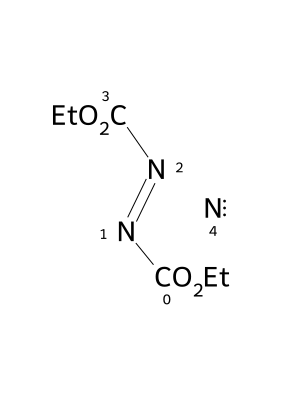 CCOC(=O)N=NC(=O)OCC.[N]